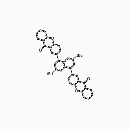 CC(C)(C)c1cc(-c2ccc3oc4ccccc4c(=O)c3c2)c2cc(C(C)(C)C)cc(-c3ccc4oc5ccccc5c(=O)c4c3)c2c1